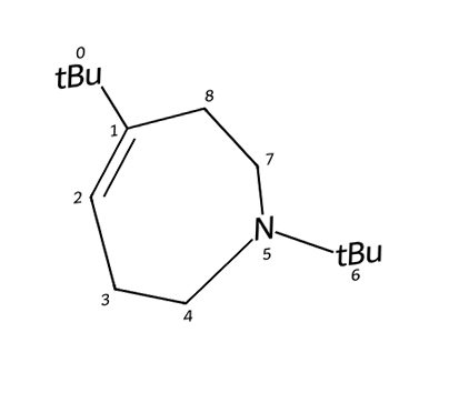 CC(C)(C)C1=CCCN(C(C)(C)C)CC1